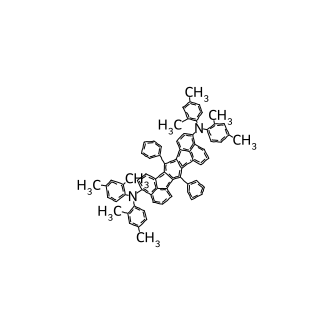 Cc1ccc(N(c2ccc(C)cc2C)c2ccc3c4c(-c5ccccc5)c5c6ccc(N(c7ccc(C)cc7C)c7ccc(C)cc7C)c7cccc(c5c(-c5ccccc5)c4c4cccc2c43)c76)c(C)c1